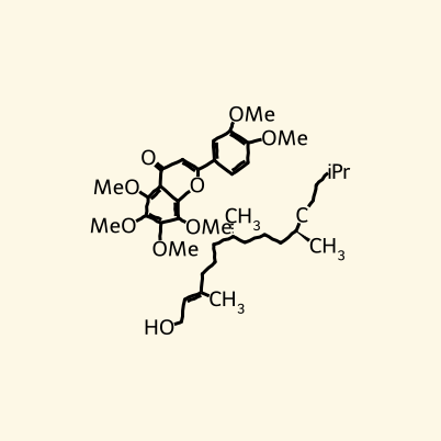 C/C(=C\CO)CCC[C@H](C)CCC[C@H](C)CCCC(C)C.COc1ccc(-c2cc(=O)c3c(OC)c(OC)c(OC)c(OC)c3o2)cc1OC